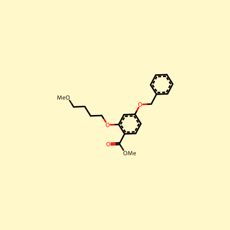 COCCCCOc1cc(OCc2ccccc2)ccc1C(=O)OC